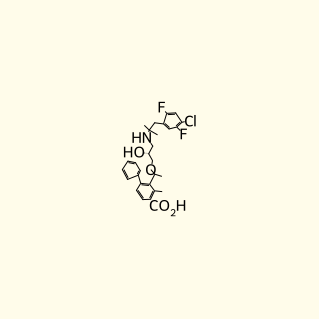 Cc1c(C(=O)O)ccc(-c2ccccc2)c1C(C)OC[C@H](O)CNC(C)(C)Cc1cc(F)c(Cl)cc1F